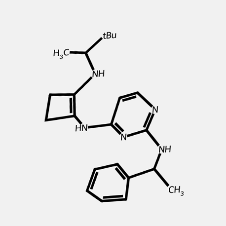 CC(Nc1nccc(NC2=C(NC(C)C(C)(C)C)CC2)n1)c1ccccc1